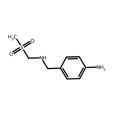 CS(=O)(=O)CNCc1ccc(N)cc1